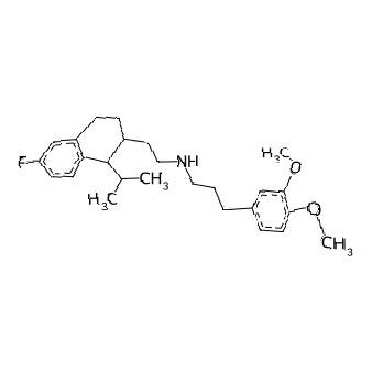 COc1ccc(CCCNCCC2CCc3cc(F)ccc3C2C(C)C)cc1OC